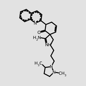 CC1CCN(C)N1CCCCCC1(C(=N)N)C=CCC(c2ccc3ccccc3n2)C1=O